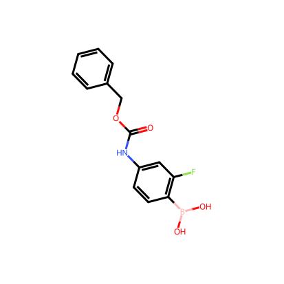 O=C(Nc1ccc(B(O)O)c(F)c1)OCc1ccccc1